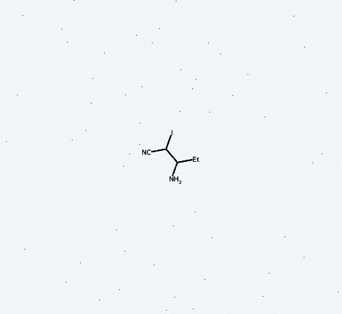 CCC(N)C(I)C#N